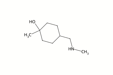 CNCC1CCC(C)(O)CC1